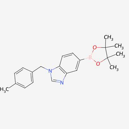 Cc1ccc(Cn2cnc3cc(B4OC(C)(C)C(C)(C)O4)ccc32)cc1